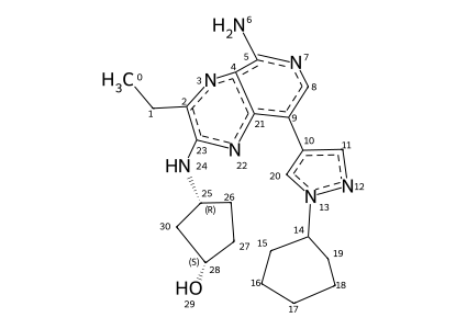 CCc1nc2c(N)ncc(-c3cnn(C4CCCCC4)c3)c2nc1N[C@@H]1CC[C@H](O)C1